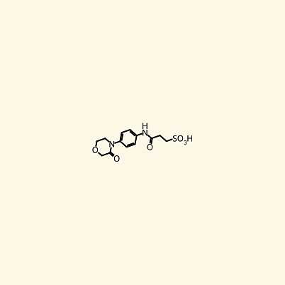 O=C(CCS(=O)(=O)O)Nc1ccc(N2CCOCC2=O)cc1